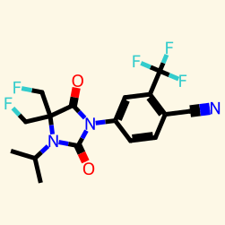 CC(C)N1C(=O)N(c2ccc(C#N)c(C(F)(F)F)c2)C(=O)C1(CF)CF